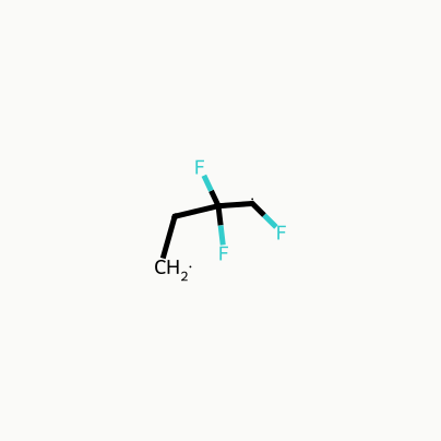 [CH2]CC(F)(F)[CH]F